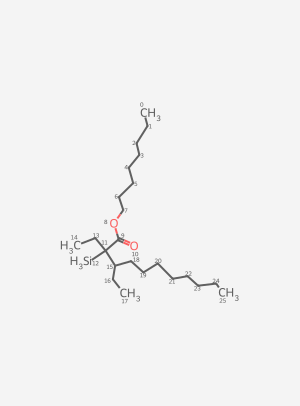 CCCCCCCCOC(=O)C([SiH3])(CC)C(CC)CCCCCCCC